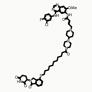 COc1cc2ncnc(Nc3ccc(F)c(Cl)c3)c2cc1NC(=O)/C=C/CN1CCC(N2CCN(C(=O)CCCCCCCCCCSc3cccc4c3CN(C3CCC(=O)NC3=O)C4=O)CC2)CC1